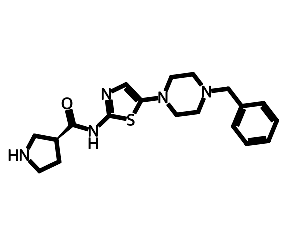 O=C(Nc1ncc(N2CCN(Cc3ccccc3)CC2)s1)[C@H]1CCNC1